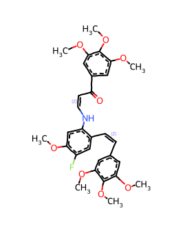 COc1cc(N/C=C\C(=O)c2cc(OC)c(OC)c(OC)c2)c(/C=C\c2cc(OC)c(OC)c(OC)c2)cc1F